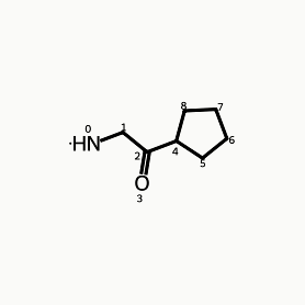 [NH]CC(=O)C1CCCC1